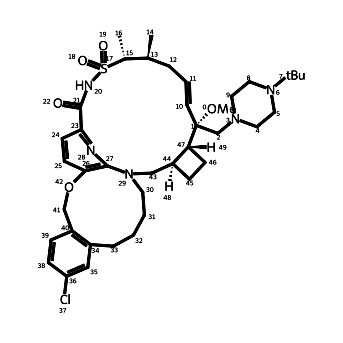 CO[C@@]1(CN2CCN(C(C)(C)C)CC2)/C=C/C[C@H](C)[C@@H](C)S(=O)(=O)NC(=O)c2ccc3c(n2)N(CCCCc2cc(Cl)ccc2CO3)C[C@@H]2CC[C@H]21